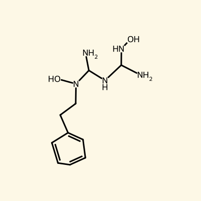 NC(NO)NC(N)N(O)CCc1ccccc1